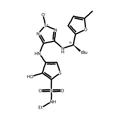 CCNS(=O)(=O)c1scc(Nc2n[s+]([O-])nc2N[C@@H](c2ccc(C)o2)C(C)(C)C)c1O